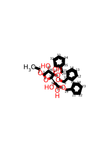 CCOC1O[C@H](C(O)(OCc2ccccc2)C(O)OCc2ccccc2)[C@@](O)(OCc2ccccc2)[C@H]1O